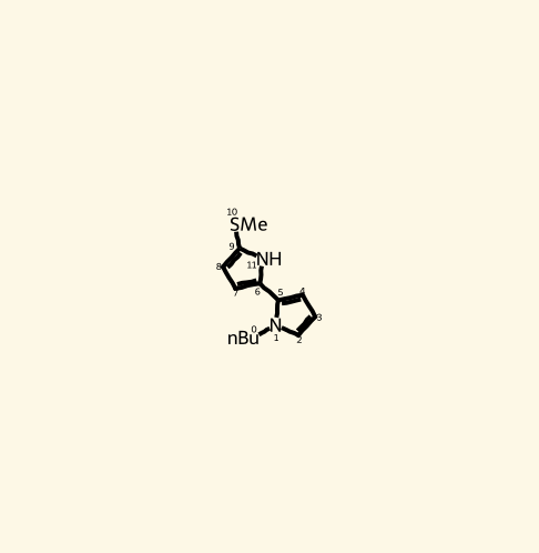 CCCCn1cccc1-c1ccc(SC)[nH]1